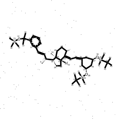 C[C@H](/C=C/c1cccc(C(C)(C)O[Si](C)(C)C)c1)[C@H]1CC[C@H]2/C(=C/C=C3C[C@@H](O[Si](C)(C)C(C)(C)C)C[C@H](O[Si](C)(C)C(C)(C)C)C3)CCC[C@]12C